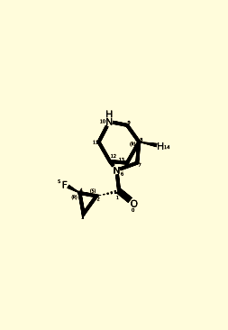 O=C([C@@H]1C[C@H]1F)N1C[C@H]2CNCC1C2